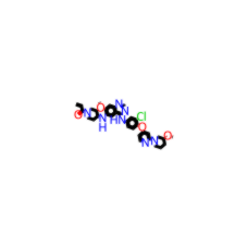 C=CC(=O)N1CCC(Nc2cc3c(Nc4ccc(Oc5ccnc(N6CCC[C@@H](OC)C6)c5)c(Cl)c4)ncnc3cc2OC)CC1